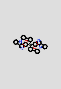 c1ccc([Si](c2ccccc2)(c2cccc3c2oc2c(-n4c5ccccc5c5cnccc54)cccc23)c2cccc3c2oc2c(-n4c5ccccc5c5cnccc54)cccc23)cc1